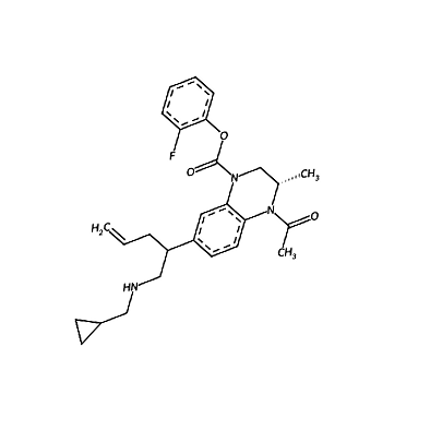 C=CCC(CNCC1CC1)c1ccc2c(c1)N(C(=O)Oc1ccccc1F)C[C@H](C)N2C(C)=O